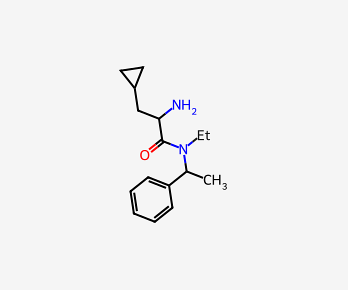 CCN(C(=O)C(N)CC1CC1)C(C)c1ccccc1